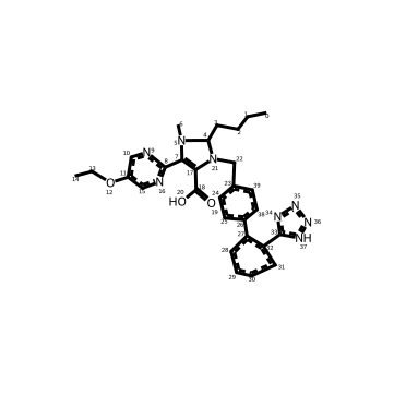 CCCCC1N(C)C(c2ncc(OCC)cn2)=C(C(=O)O)N1Cc1ccc(-c2ccccc2-c2nnn[nH]2)cc1